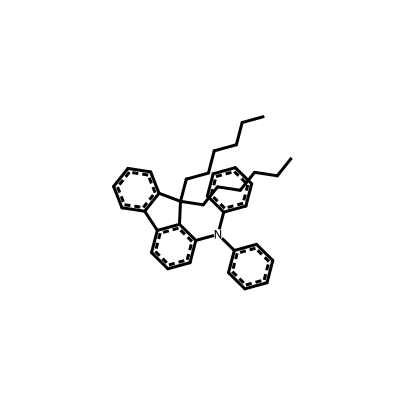 CCCCCCC1(CCCCCC)c2ccccc2-c2cccc(N(c3ccccc3)c3ccccc3)c21